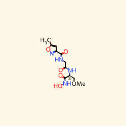 COC[C@H](NC(=O)CNC(=O)c1cc(C)on1)C(=O)NO